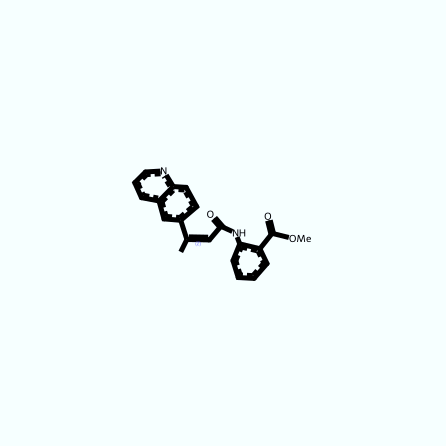 COC(=O)c1ccccc1NC(=O)/C=C(/C)c1ccc2ncccc2c1